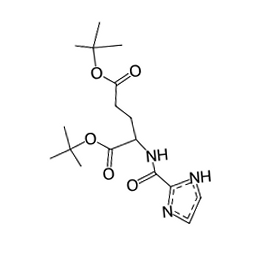 CC(C)(C)OC(=O)CCC(NC(=O)c1ncc[nH]1)C(=O)OC(C)(C)C